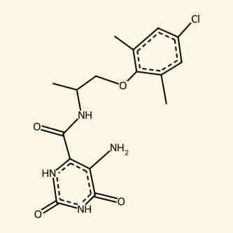 Cc1cc(Cl)cc(C)c1OCC(C)NC(=O)c1[nH]c(=O)[nH]c(=O)c1N